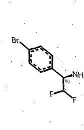 N[C@H](c1ccc(Br)cc1)C(F)F